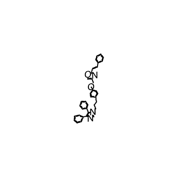 C(=Cc1nc(COc2ccc(CCCn3cnc(-c4ccccc4)c3-c3ccccc3)cc2)co1)c1ccccc1